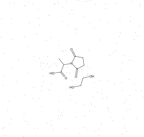 CC(C(=O)O)N1C(=O)CCC1=O.OCCO